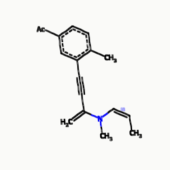 C=C(C#Cc1cc(C(C)=O)ccc1C)N(C)/C=C\C